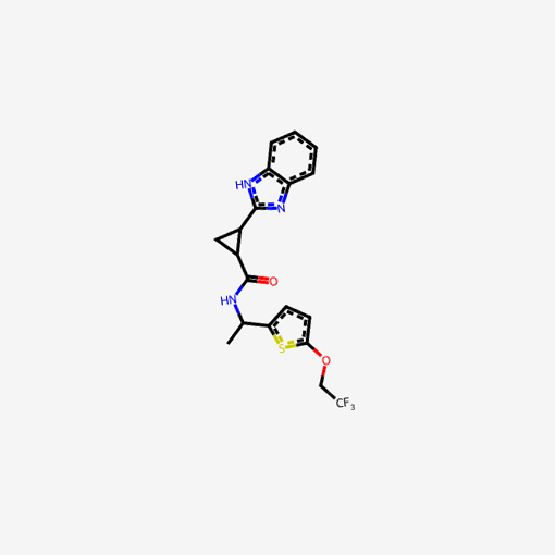 CC(NC(=O)C1CC1c1nc2ccccc2[nH]1)c1ccc(OCC(F)(F)F)s1